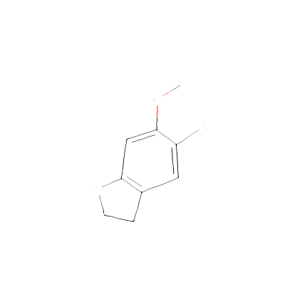 COc1cc2c(cc1Br)CCS2